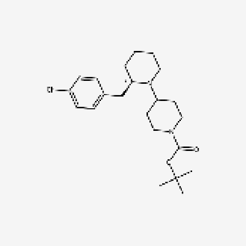 CC(C)(C)OC(=O)N1CCC(N2CCCC[C@@H]2Cc2ccc(Cl)cc2)CC1